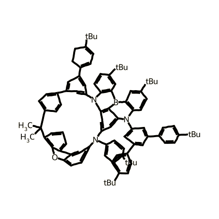 CC(C)(C)C1=CC=C(c2cc3cc(c2)N2c4ccc(C(C)(C)C)cc4B4c5cc(C(C)(C)C)ccc5N(c5cc(-c6ccc(C(C)(C)C)cc6)cc(-c6ccc(C(C)(C)C)cc6)c5)c5cc(cc2c54)N(c2ccc(C(C)(C)C)cc2)c2ccc4oc5c(cccc5c4c2)C(C)(C)c2ccc-3cc2)CC1